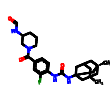 C[C@]12CC3CC(NC(=O)Nc4ccc(C(=O)N5CCC[C@H](NC=O)C5)cc4F)(C1)C[C@@](C)(C3)C2